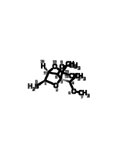 B[C@@H]1O[C@@]2(C(C)OC)C(OC)[C@@H]1OC2(C)C